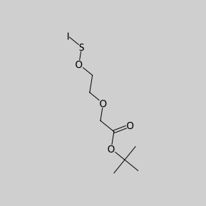 CC(C)(C)OC(=O)COCCOSI